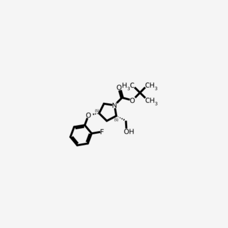 CC(C)(C)OC(=O)N1C[C@@H](Oc2ccccc2F)C[C@H]1CO